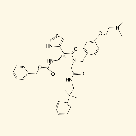 CN(C)CCOc1ccc(CN(CC(=O)NCC(C)(C)c2ccccc2)C(=O)[C@@H](CNC(=O)OCc2ccccc2)c2cnc[nH]2)cc1